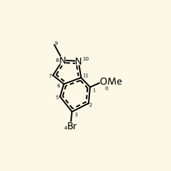 COc1cc(Br)cc2cn(C)nc12